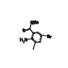 CNC(=S)c1cc(Br)cc(C)c1N